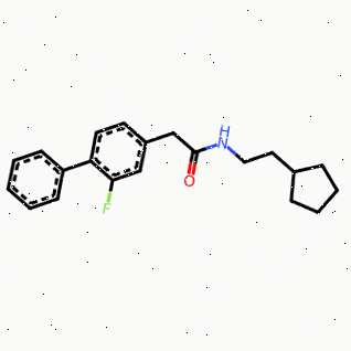 O=C(Cc1ccc(-c2ccccc2)c(F)c1)NCCC1CCCC1